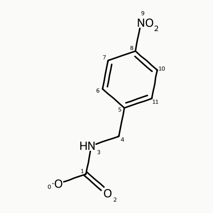 [O]C(=O)NCc1ccc([N+](=O)[O-])cc1